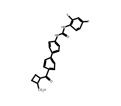 O=C(Nc1ccc(-c2ccc(C(=O)C3CCC3C(=O)O)cc2)cc1)Nc1ccc(F)cc1F